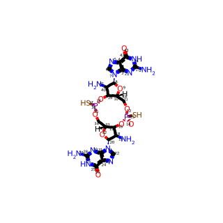 Nc1nc2c(ncn2[C@@H]2O[C@@H]3COP(=O)(S)OC4C(N)[C@H](n5cnc6c(=O)[nH]c(N)nc65)O[C@@H]4COP(S)OC3C2N)c(=O)[nH]1